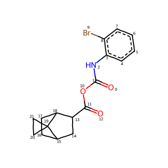 O=C(Nc1ccccc1Br)OC(=O)C1CC2CCC1C21CC1